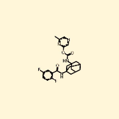 Cc1cncc(OC(=O)NC23CC4CC(C2)CC(NC(=O)c2cc(F)ccc2F)(C4)C3)n1